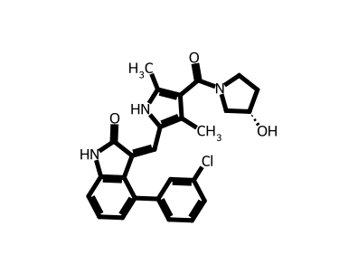 Cc1[nH]c(/C=C2\C(=O)Nc3cccc(-c4cccc(Cl)c4)c32)c(C)c1C(=O)N1CC[C@H](O)C1